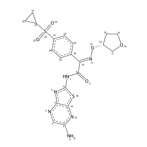 Nc1cnc2nc(NC(=O)/C(=N/O[C@@H]3CCOC3)c3ccc(S(=O)(=O)C4CC4)cc3)sc2n1